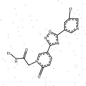 CCNC(=O)Cn1cc(-c2noc(-c3cncc(Cl)c3)n2)ccc1=O